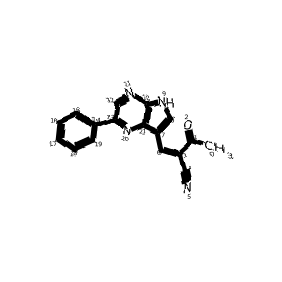 CC(=O)C(C#N)=Cc1c[nH]c2ncc(-c3ccccc3)nc12